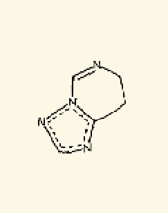 C1=NCCc2ncnn21